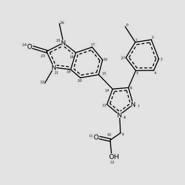 Cc1cccc(-c2nn(CC(=O)O)cc2-c2ccc3c(c2)n(C)c(=O)n3C)c1